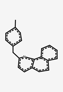 Cc1ccc(Cc2ccc3ccc4ccccc4c3n2)cc1